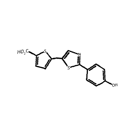 O=C(O)c1ccc(-c2cnc(-c3ccc(O)cc3)s2)s1